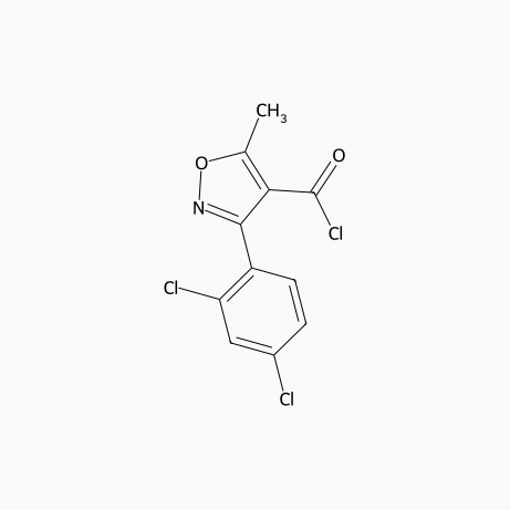 Cc1onc(-c2ccc(Cl)cc2Cl)c1C(=O)Cl